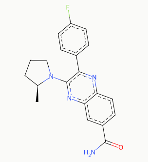 C[C@H]1CCCN1c1nc2cc(C(N)=O)ccc2nc1-c1ccc(F)cc1